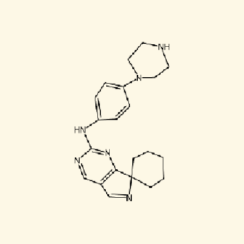 C1=NC2(CCCCC2)c2nc(Nc3ccc(N4CCNCC4)cc3)ncc21